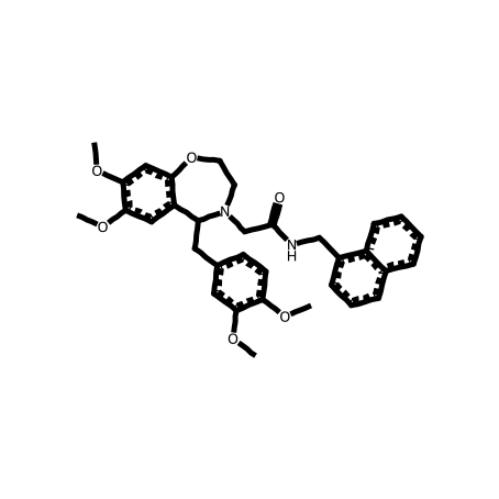 COc1ccc(CC2c3cc(OC)c(OC)cc3OCCN2CC(=O)NCc2cccc3ccccc23)cc1OC